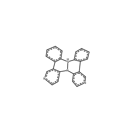 c1ccc2c(c1)-c1cnccc1N1c3ccncc3-c3ccccc3[SiH]21